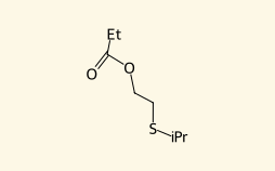 CCC(=O)OCCSC(C)C